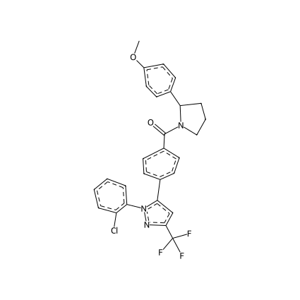 COc1ccc(C2CCCN2C(=O)c2ccc(-c3cc(C(F)(F)F)nn3-c3ccccc3Cl)cc2)cc1